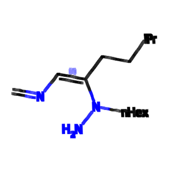 C=N/C=C(/CCC(C)C)N(N)CCCCCC